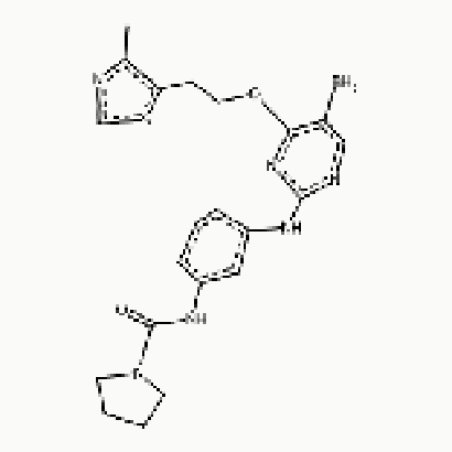 Bc1cnc(Nc2cccc(NC(=O)N3CCCC3)c2)nc1OCCc1scnc1C